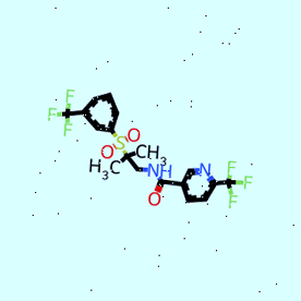 CC(C)(CNC(=O)c1ccc(C(F)(F)F)nc1)S(=O)(=O)c1cccc(C(F)(F)F)c1